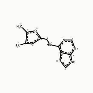 Cc1cc(CNc2ncnc3[nH]cnc23)oc1C